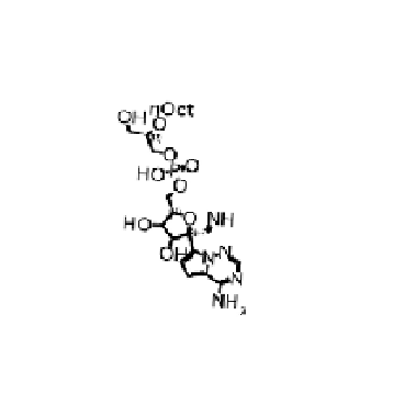 CCCCCCCCO[C@H](CO)COP(=O)(O)OC[C@H]1O[C@@](C=N)(c2ccc3c(N)ncnn23)C(O)C1O